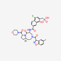 Cc1ccc2onc(C(=O)N3CC[C@H]4CC[C@@H](C(=O)N5CCOCC5)N4C(=O)[C@@H](NC(=O)c4ccc5c(F)cc(CP(=O)(O)O)cc5c4)C3)c2c1